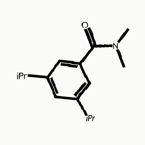 CC(C)c1cc(C(=O)N(C)C)cc(C(C)C)c1